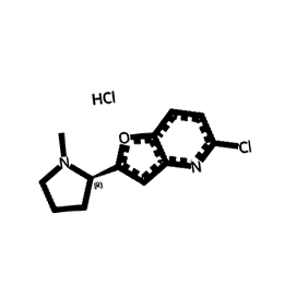 CN1CCC[C@@H]1c1cc2nc(Cl)ccc2o1.Cl